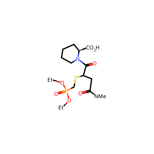 CCOP(=O)(CSC(CC(=O)NC)C(=O)N1CCCC[C@H]1C(=O)O)OCC